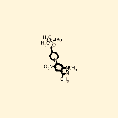 Cc1nn(C)c2cc(N3CCC(CO[Si](C)(C)C(C)(C)C)CC3)c([N+](=O)[O-])cc12